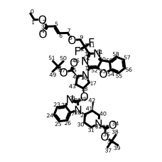 CCOC(=O)C=CCOCC(F)(F)c1nc(N2C[C@@H](Oc3nc4ccccc4n3[C@H]3CCN(C(=O)OC(C)(C)C)C[C@@H]3C)C[C@H]2C(=O)OC(C)(C)C)c2oc3ccccc3c2n1